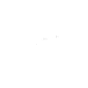 CC(C)C[C]1([Ti])C=Cc2ccccc21.Cl.Cl